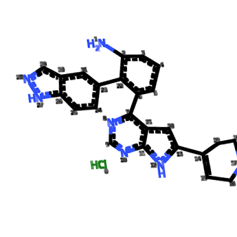 Cl.Nc1cccc(-c2ncnc3[nH]c(C4=CCNCC4)cc23)c1-c1ccc2[nH]ncc2c1